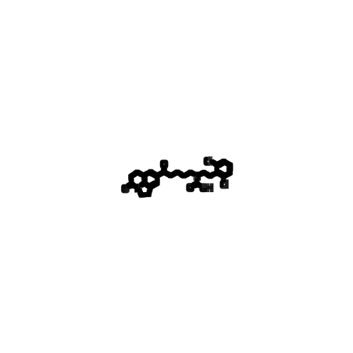 O=C(CCCCN(CCc1c(Cl)cccc1Cl)C(=O)O)c1cc2c3c(c1)CCN3C(=O)CC2